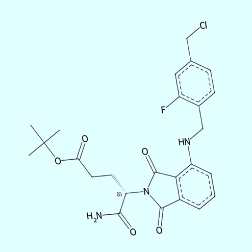 CC(C)(C)OC(=O)CC[C@@H](C(N)=O)N1C(=O)c2cccc(NCc3ccc(CCl)cc3F)c2C1=O